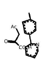 CC(=O)CC(=O)C(=O)O.Cc1ccc(-c2ccccn2)cc1